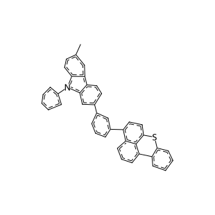 Cc1ccc2c(c1)c1ccc(-c3cccc(-c4ccc5c6c(cccc46)-c4ccccc4S5)c3)cc1n2-c1ccccc1